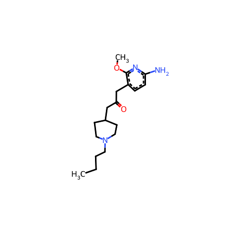 CCCCN1CCC(CC(=O)Cc2ccc(N)nc2OC)CC1